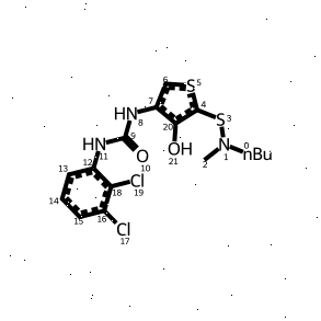 CCCCN(C)Sc1scc(NC(=O)Nc2cccc(Cl)c2Cl)c1O